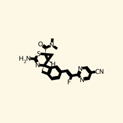 CN(C)C(=O)[C@]12C[C@H]1[C@]1(Cc3ccc(/C=C(\F)c4ncc(C#N)cn4)cc31)N=C(N)S2